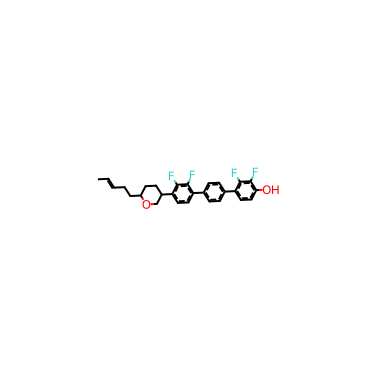 C/C=C/CCC1CCC(c2ccc(-c3ccc(-c4ccc(O)c(F)c4F)cc3)c(F)c2F)CO1